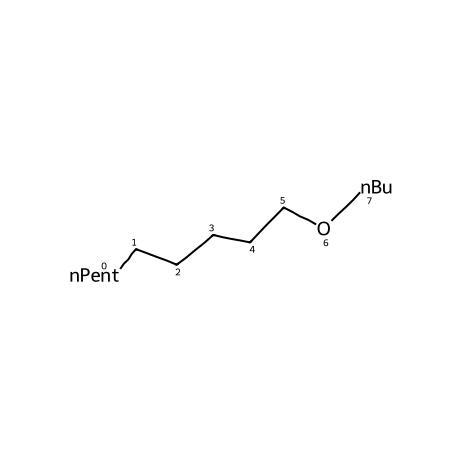 CCCCCCCCCCOCCCC